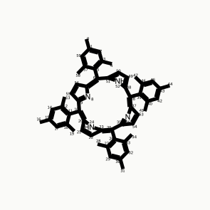 Cc1cc(C)c(-c2c3nc(c(-c4c(C)cc(C)cc4C)c4ccc([nH]4)c(-c4c(C)cc(C)cc4C)c4nc(c(-c5c(C)cc(C)cc5C)c5ccc2[nH]5)C=C4)C=C3)c(C)c1